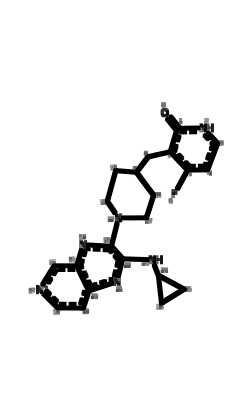 O=c1[nH]ccc(F)c1CC1CCN(c2nc3cnccc3nc2NC2CC2)CC1